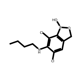 CCCCNc1c(Cl)cc2c(c1Cl)B(O)OC2